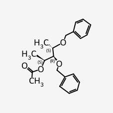 CC(=O)O[C@@H](C)[C@H](OCc1ccccc1)[C@H](C)OCc1ccccc1